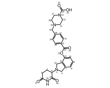 O=C1CCC(N2Cc3cccc(OC(=O)c4ccc(CN5CCN(C(=O)O)CC5)cc4)c3C2)C(=O)N1